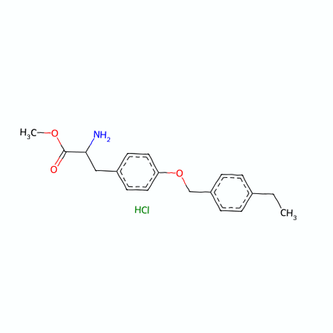 CCc1ccc(COc2ccc(CC(N)C(=O)OC)cc2)cc1.Cl